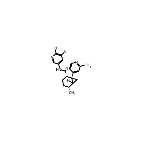 Cc1cc([C@@]23C[C@@H]2[C@H](C)CC[C@@H]3C(=O)Nc2cnc(Cl)c(Cl)c2)ccn1